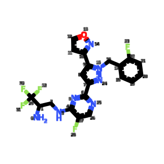 NC(CNc1nc(-c2cc(-c3ccon3)n(Cc3ccccc3F)n2)ncc1F)C(F)(F)F